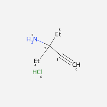 C#CC(N)(CC)CC.Cl